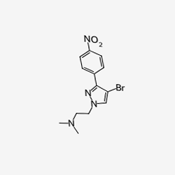 CN(C)CCn1cc(Br)c(-c2ccc([N+](=O)[O-])cc2)n1